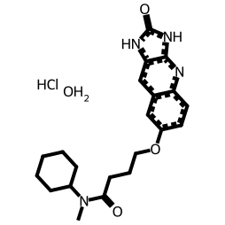 CN(C(=O)CCCOc1ccc2nc3[nH]c(=O)[nH]c3cc2c1)C1CCCCC1.Cl.O